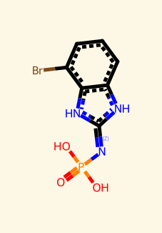 O=P(O)(O)/N=c1/[nH]c2cccc(Br)c2[nH]1